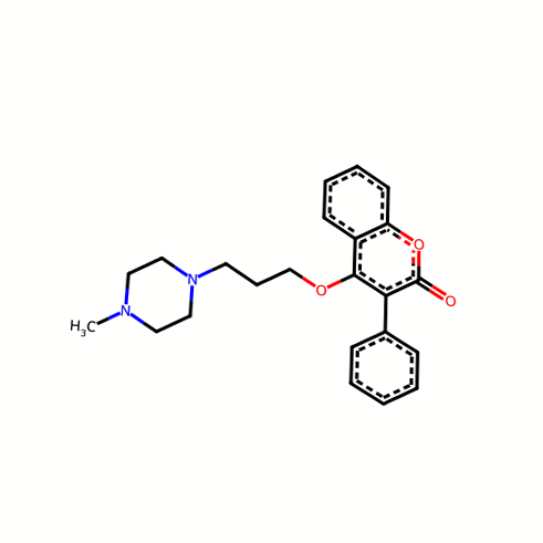 CN1CCN(CCCOc2c(-c3ccccc3)c(=O)oc3ccccc23)CC1